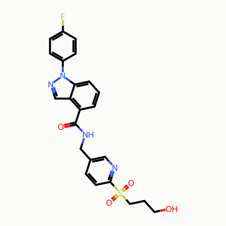 O=C(NCc1ccc(S(=O)(=O)CCCO)nc1)c1cccc2c1cnn2-c1ccc(F)cc1